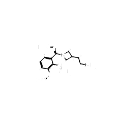 C=Nc1c(OC)cccc1/C(=N\C)N1CC(CCN)C1